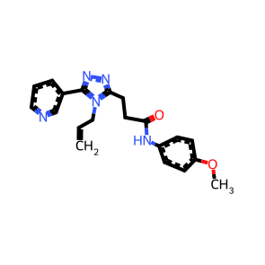 C=CCn1c(CCC(=O)Nc2ccc(OC)cc2)nnc1-c1cccnc1